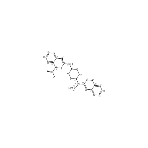 CN(C)c1cc(NC2CCC(N(C(=O)O)c3ccc4ccccc4c3)CC2)nc2ccccc12